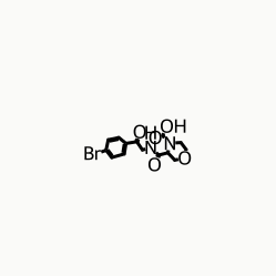 O=C(CNC(=O)C1COCCN1C(=O)O)c1ccc(Br)cc1